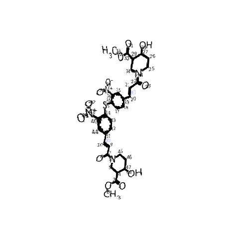 COC(=O)C1CN(C(=O)/C=C/c2ccc(Sc3ccc(/C=C/C(=O)N4CCC(O)C(C(=O)OC)C4)cc3[N+](=O)[O-])c([N+](=O)[O-])c2)CCC1O